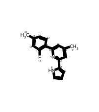 Cc1cc(-c2ccc[nH]2)nc(-c2ccc(C)cc2F)c1